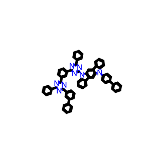 c1ccc(-c2ccc(-n3c4ccccc4c4cc5c(cc43)c3ccccc3n5-c3nc(-c4ccccc4)nc(-c4cccc(-c5nc(-c6ccccc6)nc(-c6cccc(-c7ccccc7)c6)n5)c4)n3)cc2)cc1